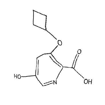 O=C(O)c1ncc(O)cc1OC1CCC1